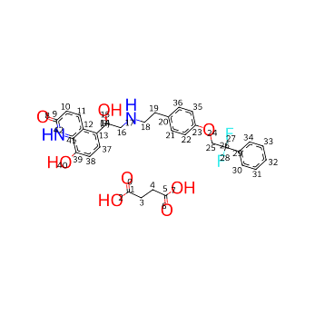 O=C(O)CCC(=O)O.O=c1ccc2c([C@@H](O)CNCCc3ccc(OCC(F)(F)c4ccccc4)cc3)ccc(O)c2[nH]1